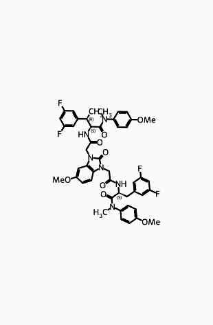 COc1ccc(N(C)C(=O)[C@H](Cc2cc(F)cc(F)c2)NC(=O)Cn2c(=O)n(CC(=O)N[C@H](C(=O)N(C)c3ccc(OC)cc3)[C@H](C)c3cc(F)cc(F)c3)c3cc(OC)ccc32)cc1